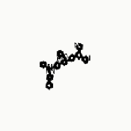 C1=CC2Oc3c(-c4ccc(-c5cc(-c6cccnc6)cc(-c6cccnc6)c5)cc4)ccc(-c4ccc(-c5nc(-c6ccccc6)nc(-c6ccc(-c7ccccc7)cc6)n5)cc4)c3OC2C=C1